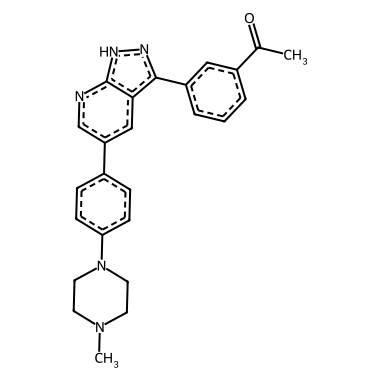 CC(=O)c1cccc(-c2n[nH]c3ncc(-c4ccc(N5CCN(C)CC5)cc4)cc23)c1